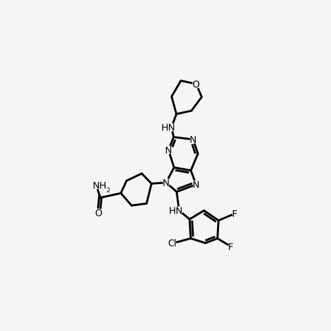 NC(=O)C1CCC(n2c(Nc3cc(F)c(F)cc3Cl)nc3cnc(NC4CCOCC4)nc32)CC1